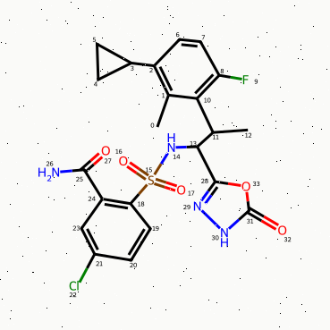 Cc1c(C2CC2)ccc(F)c1C(C)C(NS(=O)(=O)c1ccc(Cl)cc1C(N)=O)c1n[nH]c(=O)o1